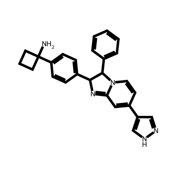 NC1(c2ccc(C3N=C4C=C(c5cn[nH]c5)C=CN4C3c3ccccc3)cc2)CCC1